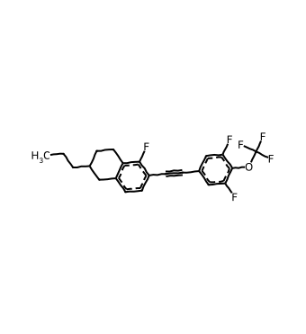 CCCC1CCc2c(ccc(C#Cc3cc(F)c(OC(F)(F)F)c(F)c3)c2F)C1